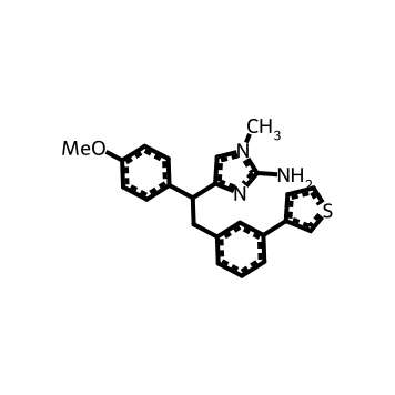 COc1ccc(C(Cc2cccc(-c3ccsc3)c2)c2cn(C)c(N)n2)cc1